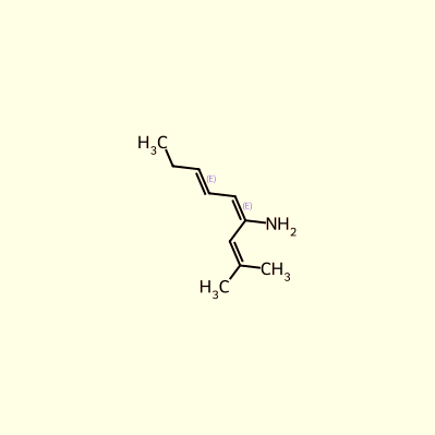 CC/C=C/C=C(/N)C=C(C)C